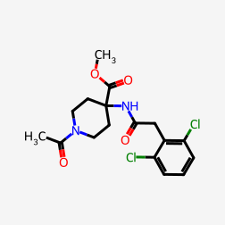 COC(=O)C1(NC(=O)Cc2c(Cl)cccc2Cl)CCN(C(C)=O)CC1